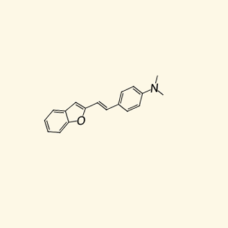 CN(C)c1ccc(C=Cc2cc3ccccc3o2)cc1